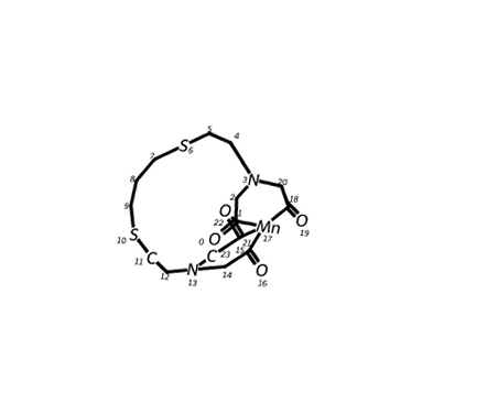 O=[C]1CN2CCSCCCSCCN3C[C](=O)[Mn]1([C](=O)C2)[C](=O)C3